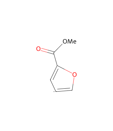 COC(=O)c1c[c]co1